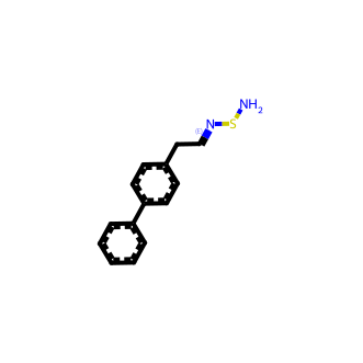 NS/N=C/Cc1ccc(-c2ccccc2)cc1